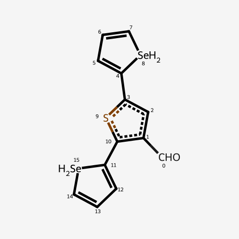 O=Cc1cc(C2=CC=C[SeH2]2)sc1C1=CC=C[SeH2]1